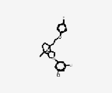 CC12CCC(CCOc3ccc(F)cc3)(O1)C1CN(c3cc(Cl)cc(Cl)c3)CC12